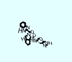 O=C[C@H](Cc1c[nH]cn1)NC(=O)[C@@H]1C2CCC[C@H]2CN1C(=O)c1nc2ccccc2[nH]1